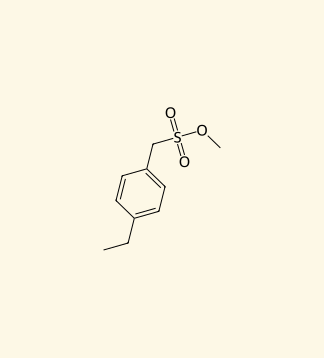 CCc1ccc(CS(=O)(=O)OC)cc1